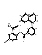 O=C(Nc1ccc(Cl)cc1C(=O)O)c1cccc(-c2cccc3cnccc23)c1